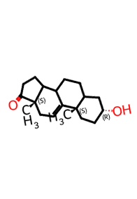 C[C@]12CC[C@@H](O)CC1CCC1C2=CC[C@]2(C)C(=O)CCC12